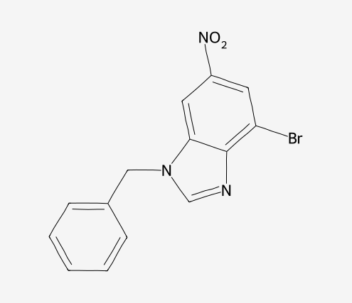 O=[N+]([O-])c1cc(Br)c2ncn(Cc3ccccc3)c2c1